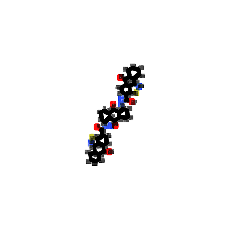 O=C1c2cccc(NC(=O)c3ccc4c5c(nsc35)-c3ccccc3C4=O)c2C(=O)c2cccc(NC(=O)c3ccc4c5c(nsc35)-c3ccccc3C4=O)c21